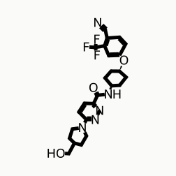 N#Cc1ccc(O[C@H]2CC[C@H](NC(=O)c3ccc(N4CCC(CO)CC4)nn3)CC2)cc1C(F)(F)F